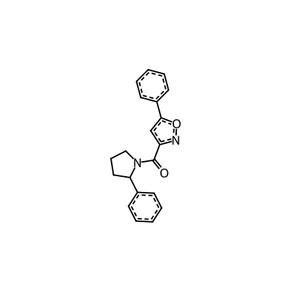 O=C(c1cc(-c2ccccc2)on1)N1CCCC1c1ccccc1